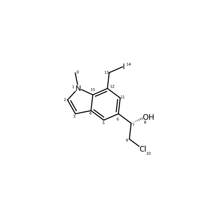 Cn1ccc2cc([C@H](O)CCl)cc(CI)c21